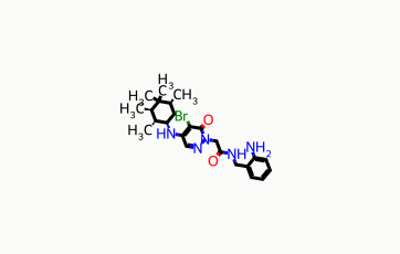 C[C@@H]1[C@@H](C)C(C)(C)[C@@H](C)C[C@H]1Nc1cnn(CC(=O)NCc2ccccc2N)c(=O)c1Br